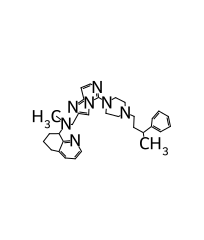 CC(CCN1CCN(c2nccc3nc(CN(C)C4CCCc5cccnc54)cn23)CC1)c1ccccc1